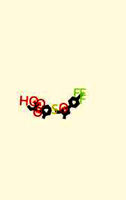 CCC(Oc1ccc(SCc2oc(-c3ccc(C(F)(F)F)cc3)cc2C)cc1C)C(=O)O